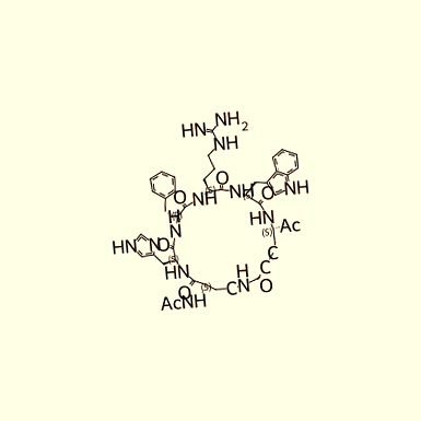 CC(=O)N[C@H]1CCNC(=O)CCC[C@@H](C(C)=O)NC(=O)[C@H](Cc2c[nH]c3ccccc23)NC(=O)[C@H](CCCNC(=N)N)NC(=O)[C@@H](Cc2ccccc2)NC(=O)[C@H](Cc2c[nH]cn2)NC1=O